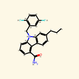 CCCc1c[c]c2c3c(C(N)=O)cccc3n(Cc3cc(F)ccc3F)c2c1